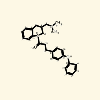 CN(C)CC1Cc2ccccc2N(C(=O)CCc2ccc(Oc3ccccc3)cc2)C1